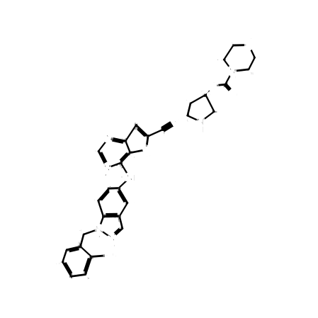 O=C(O[C@H]1CN[C@H](C#Cc2cc3ncnc(Nc4ccc5c(cnn5Cc5ccccc5F)c4)c3s2)C1)N1CCOCC1